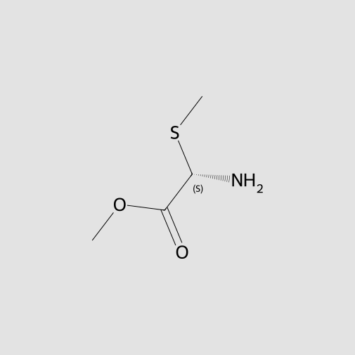 COC(=O)[C@@H](N)SC